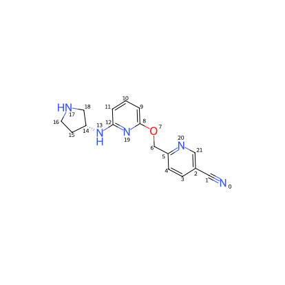 N#Cc1ccc(COc2cccc(N[C@@H]3CCNC3)n2)nc1